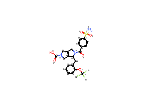 NS(=O)(=O)c1ccc(C(=O)N2CC3=C(CN(C(=O)O)C3)C2Cc2ccccc2OC(F)(F)F)cc1